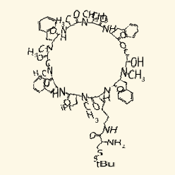 CC(C)C[C@H]1C(=O)N[C@@H](Cc2ccccc2)C(=O)N(C)CC(=O)N(C)[C@@H](Cc2ccccc2)C(=O)N[C@@H](C)C(=O)N(C)[C@@H](C)C(=O)NC(Cc2ccccc2)C(=O)OCC(O)N(C)[C@@H](Cc2ccccc2)C(=O)N[C@@H](CCCCNC(=O)[C@@H](N)CSSC(C)(C)C)C(=O)N1C